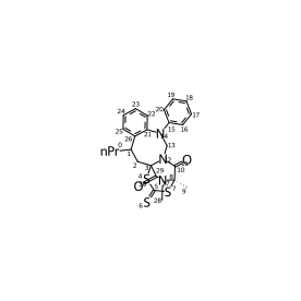 CCCC1CC23SC(=S)S[C@](C)(C(=O)N2CN(c2ccccc2)c2ccccc21)N(C)C3=O